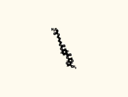 C=CC(=O)OCCCCOC(=O)Oc1ccc(C(=O)OC2COC3C2OC[C@@H]3C)cc1